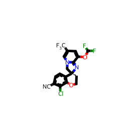 N#Cc1ccc2c(c1Cl)OCC[C@@]21CN2C=C(C(F)(F)F)C=C(OC(F)F)C2=N1